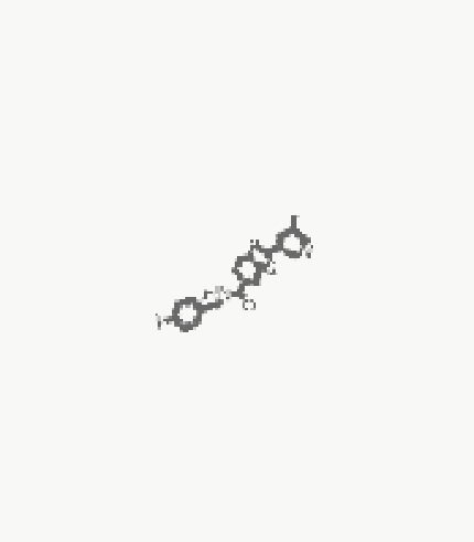 Cc1cncc(-c2nc3ccc(C(=O)NCc4ccc(F)cc4)cc3s2)c1